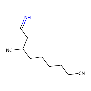 N#CCCCCCC(C#N)CC=N